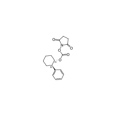 O=C(O[C@H]1CCCC[C@@H]1c1ccccc1)ON1C(=O)CCC1=O